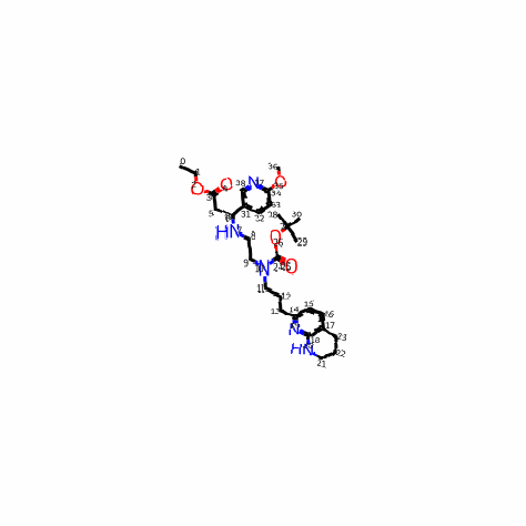 CCOC(=O)C[C@H](NCCN(CCCc1ccc2c(n1)NCCC2)C(=O)OC(C)(C)C)c1ccc(OC)nc1